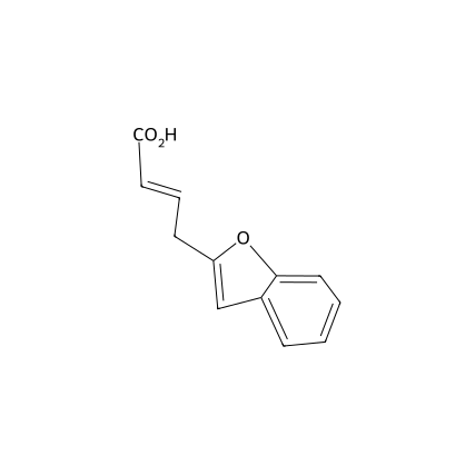 O=C(O)C=CCc1cc2ccccc2o1